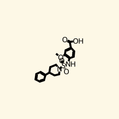 COc1cc(C(=O)O)ccc1NS(=O)(=O)N1CCC(c2ccccc2)CC1